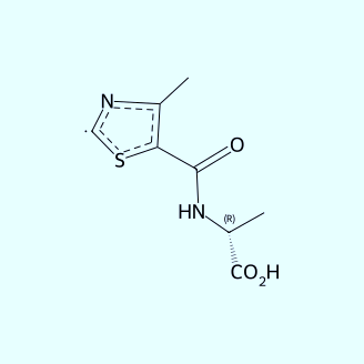 Cc1n[c]sc1C(=O)N[C@H](C)C(=O)O